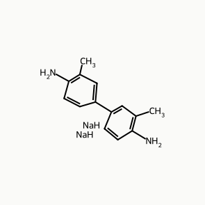 Cc1cc(-c2ccc(N)c(C)c2)ccc1N.[NaH].[NaH]